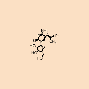 CCCC(C)=Cc1cn([C@@H]2O[C@H](CO)[C@@H](O)[C@@H]2O)c(=O)nc1N